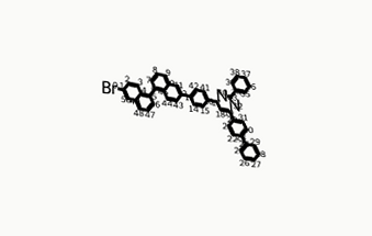 Brc1ccc2c(-c3cccc4cc(-c5ccc(-c6cc(-c7ccc(-c8ccccc8)cc7)nc(-c7ccccc7)n6)cc5)ccc34)cccc2c1